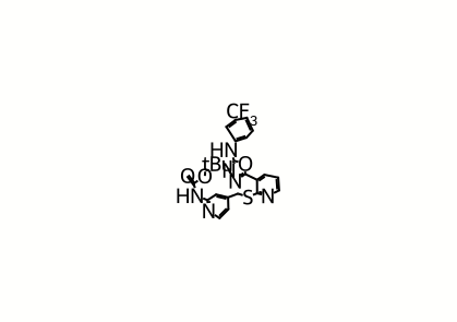 CC(C)(C)OC(=O)Nc1cc(CSc2ncccc2-c2nnc(Nc3cccc(C(F)(F)F)c3)o2)ccn1